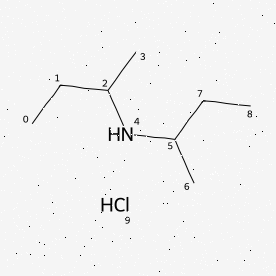 CCC(C)NC(C)CC.Cl